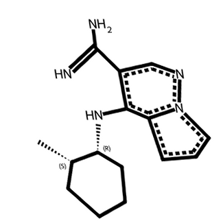 C[C@H]1CCCC[C@H]1Nc1c(C(=N)N)cnn2cccc12